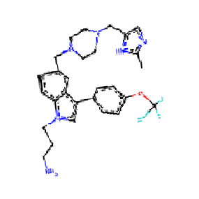 Cc1ncc(CN2CCN(Cc3ccc4c(c3)c(-c3ccc(OC(F)(F)F)cc3)cn4CCCN)CC2)[nH]1